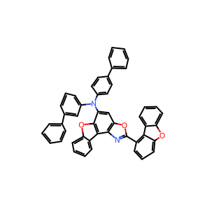 c1ccc(-c2ccc(N(c3cccc(-c4ccccc4)c3)c3cc4oc(-c5cccc6oc7ccccc7c56)nc4c4c3oc3ccccc34)cc2)cc1